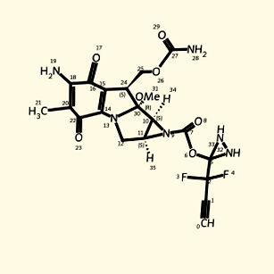 C#CC(F)(F)C1(OC(=O)N2[C@H]3[C@@H]2CN2C4=C(C(=O)C(N)=C(C)C4=O)[C@@H](COC(N)=O)[C@@]32OC)NN1